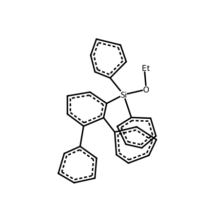 CCO[Si](c1ccccc1)(c1ccccc1)c1cccc(-c2ccccc2)c1-c1ccccc1